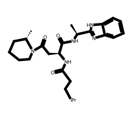 CC(C)CCC(=O)N[C@@H](CC(=O)N1CCCC[C@@H]1C)C(=O)N[C@@H](C)c1nc2ccccc2[nH]1